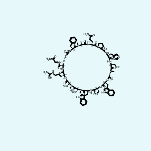 CCCC[C@H]1C(O)N(C)[C@@H](CCCC)C(=O)N[C@@H](CCCNC(=N)N)C(=O)N[C@H](C(=O)NCC(N)=O)CSCC(=O)N[C@@H](Cc2ccccc2)C(=O)N(C)[C@@H](C)C(=O)N[C@@H](CCC(N)=O)C(=O)N2CCC[C@H]2C(=O)N[C@@H](Cc2cnc[nH]2)C(=O)N[C@@H](CC(C)C)C(=O)N(C)CC(=O)N[C@@H](Cc2c[nH]c3ccccc23)C(=O)N[C@@H](CO)C(=O)N[C@@H](Cc2c[nH]c3ccccc23)C(=O)N1C